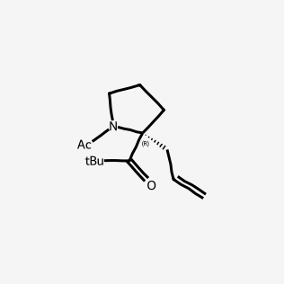 C=CC[C@@]1(C(=O)C(C)(C)C)CCCN1C(C)=O